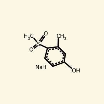 Cc1cc(O)ccc1S(C)(=O)=O.[NaH]